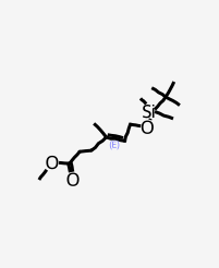 COC(=O)CC/C(C)=C/CO[Si](C)(C)C(C)(C)C